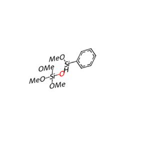 CO[SiH](O[Si](OC)(OC)OC)c1ccccc1